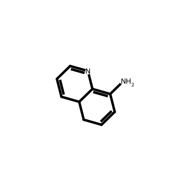 NC1=C2N=CC=CC2CC=C1